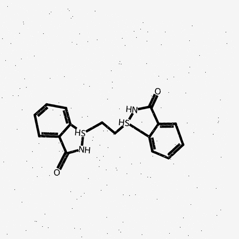 O=C1N[SH](CC[SH]2NC(=O)c3ccccc32)c2ccccc21